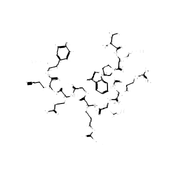 C#CCC[C@H](NC(=O)[C@H](CCC(N)=O)NC(=O)[C@H](Cc1c[nH]c2ccccc12)NC(=O)[C@H](CCCNC(N)=O)NC(=O)[C@H](CS)NC(=O)[C@H](CCCNC(=N)N)NC(=O)[C@@H]1CCCN1C(=O)[C@H](CC(=O)O)NC(=O)[C@@H](N)[C@@H](C)O)C(=O)N[C@@H](Cc1ccc(O)cc1)C(=O)O